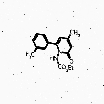 CCOC(=O)Nn1c(-c2cccc(C(F)(F)F)c2)cc(C)cc1=O